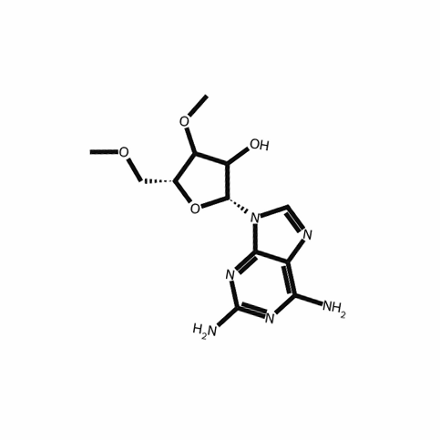 COC[C@H]1O[C@@H](n2cnc3c(N)nc(N)nc32)C(O)C1OC